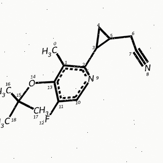 Cc1c(C2CC2CC#N)ncc(F)c1OC(C)(C)C